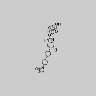 CN[S@@](C)(=O)=Nc1ccc(-c2ccc(-c3nc4[nH]c(O[C@@H]5CO[C@H]6[C@@H]5OC[C@H]6O)nc4cc3Cl)cc2)cc1